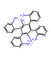 Nc1ccccc1-c1c(N)c(-c2ccccc2N)c(-c2ccccc2N)c(N)c1-c1ccccc1N